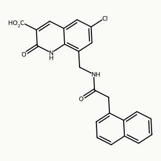 O=C(Cc1cccc2ccccc12)NCc1cc(Cl)cc2cc(C(=O)O)c(=O)[nH]c12